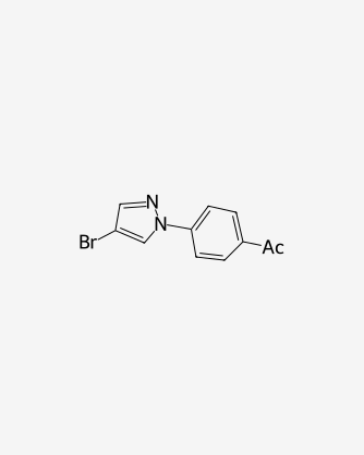 CC(=O)c1ccc(-n2cc(Br)cn2)cc1